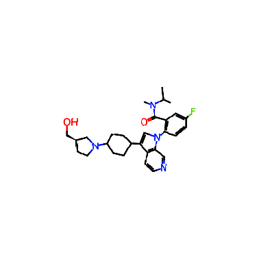 CC(C)N(C)C(=O)c1cc(F)ccc1-n1cc(C2CCC(N3CC[C@@H](CO)C3)CC2)c2ccncc21